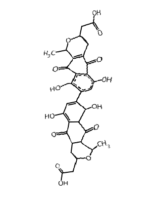 CC1OC(CC(=O)O)CC2=C1C(=O)c1c(O)c(C3=CC(O)=C4C(=O)C5CC(CC(=O)O)OC(C)C5C(=O)C4C3O)cc(O)c1C2=O